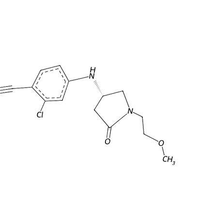 COCCN1C[C@@H](Nc2ccc(C#N)c(Cl)c2)CC1=O